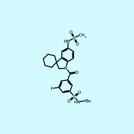 CC(C)(C)NS(=O)(=O)c1cc(F)cc(C(=O)N2CC3(CCCCC3)c3cc(NS(C)(=O)=O)ccc32)c1